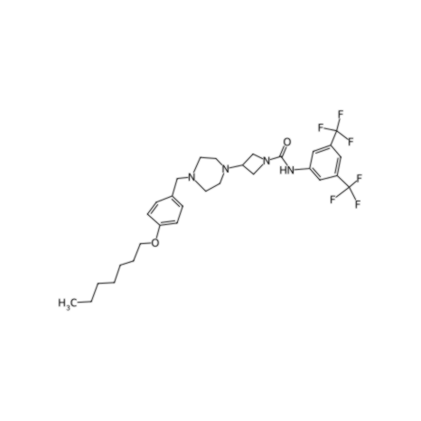 CCCCCCCOc1ccc(CN2CCN(C3CN(C(=O)Nc4cc(C(F)(F)F)cc(C(F)(F)F)c4)C3)CC2)cc1